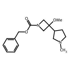 COC1(C2CCN(C)C2)CN(C(=O)OCc2ccccc2)C1